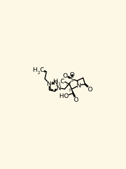 C=CC[n+]1ccn(C[C@@]2(C)[C@H](C(=O)O)N3C(=O)CC3S2(=O)=O)n1